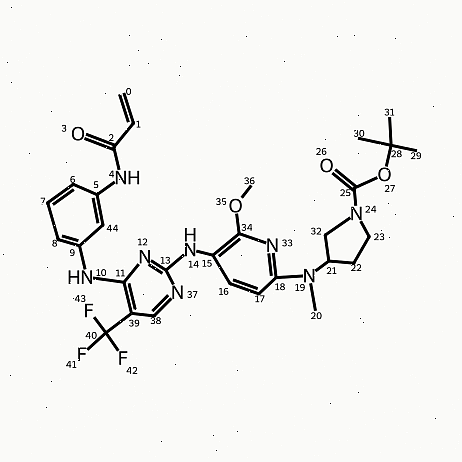 C=CC(=O)Nc1cccc(Nc2nc(Nc3ccc(N(C)C4CCN(C(=O)OC(C)(C)C)C4)nc3OC)ncc2C(F)(F)F)c1